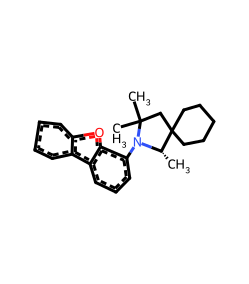 C[C@@H]1N(c2cccc3c2oc2ccccc23)C(C)(C)CC12CCCCC2